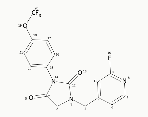 O=C1CN(Cc2ccnc(F)c2)C(=O)N1c1ccc(OC(F)(F)F)cc1